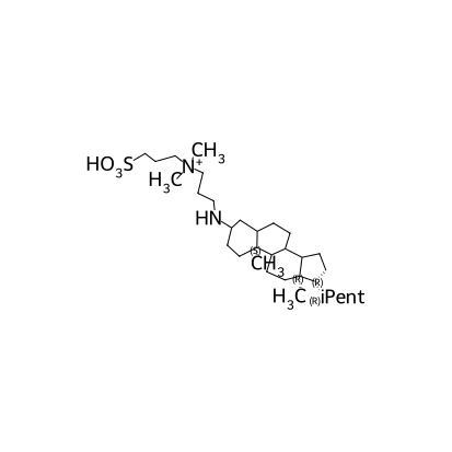 CCC[C@@H](C)[C@H]1CCC2C3CCC4CC(NCCC[N+](C)(C)CCCS(=O)(=O)O)CC[C@]4(C)C3CC[C@@]21C